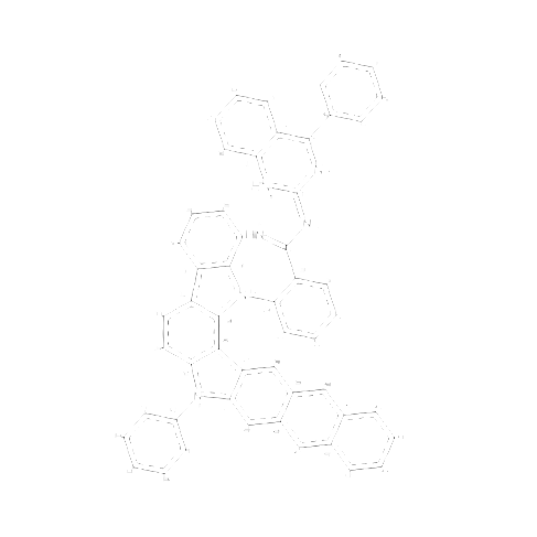 N=C(/N=c1/nc(-c2ccccc2)c2ccccc2[nH]1)c1ccccc1-n1c2ccccc2c2ccc3c(c4cc5cc6ccccc6cc5cc4n3-c3ccccc3)c21